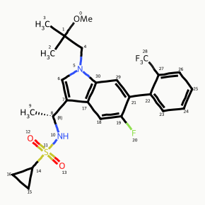 COC(C)(C)Cn1cc([C@@H](C)NS(=O)(=O)C2CC2)c2cc(F)c(-c3ccccc3C(F)(F)F)cc21